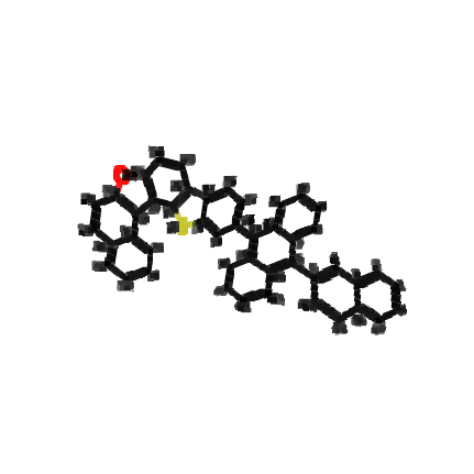 c1ccc2cc(-c3c4ccccc4c(-c4ccc5c(c4)sc4c5ccc5oc6ccc7ccccc7c6c54)c4ccccc34)ccc2c1